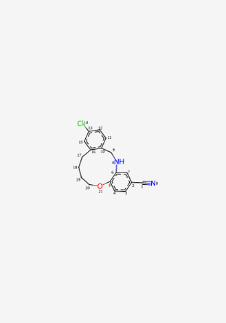 N#Cc1ccc2c(c1)NCc1ccc(Cl)cc1CCCCO2